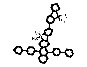 CC1(C)c2ccccc2-c2ccc(-c3ccc4c(c3)[Si](C)(C)c3cc5c(-c6ccc(-c7ccccc7)cc6)c6ccccc6c(-c6ccc(-c7ccccc7)cc6)c5cc3-4)cc21